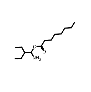 CCCCCCCC(=O)OC(N)C(CC)CC